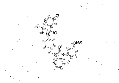 COc1ccc(F)c(-n2c(=O)n(C[C@H]3CC[C@H](NC(=O)c4cc(Cl)cnc4C(F)F)CC3)c3ncccc32)c1